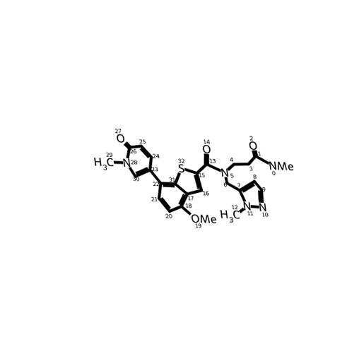 CNC(=O)CCN(Cc1ccnn1C)C(=O)c1cc2c(OC)ccc(-c3ccc(=O)n(C)c3)c2s1